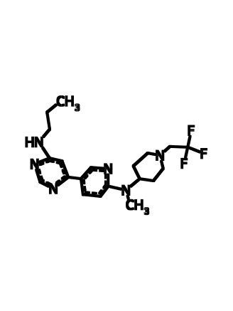 CCCNc1cc(-c2ccc(N(C)C3CCN(CC(F)(F)F)CC3)nc2)ncn1